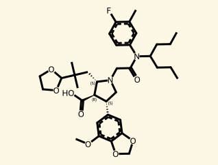 CCCC(CCC)N(C(=O)CN1C[C@H](c2cc(OC)c3c(c2)OCO3)[C@@H](C(=O)O)[C@@H]1CC(C)(C)C1OCCO1)c1ccc(F)c(C)c1